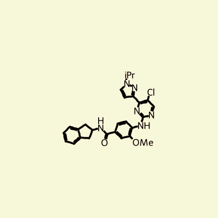 COc1cc(C(=O)NC2Cc3ccccc3C2)ccc1Nc1ncc(Cl)c(-c2ccn(C(C)C)n2)n1